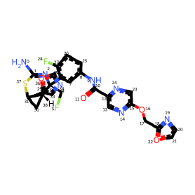 NC1=N[C@](CF)(c2cc(NC(=O)c3cnc(OCc4ncco4)cn3)ccc2F)[C@@H]2C[C@]2(c2cnco2)S1